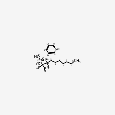 CCCCCCCC(F)(F)C(F)(F)S(=O)(=O)O.c1ccncc1